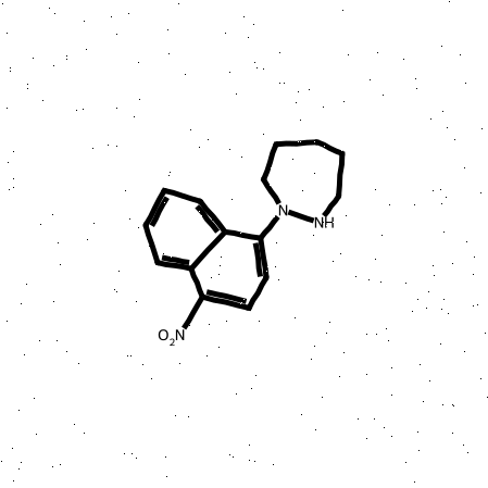 O=[N+]([O-])c1ccc(N2CCCCCN2)c2ccccc12